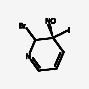 O=N[C@@]1(I)C=CC=NC1Br